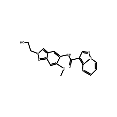 COc1cc2nn(CCO)cc2cc1NC(=O)c1cnn2cccnc12